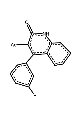 CC(=O)c1c(-c2cccc(F)c2)c2ccccc2[nH]c1=O